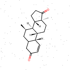 C[C@@H]1CC2CC(=O)C=C[C@H]2[C@H]2CC[C@]3(C)C(=O)CC[C@H]3[C@@H]21